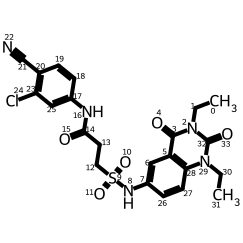 CCn1c(=O)c2cc(NS(=O)(=O)CCC(=O)Nc3ccc(C#N)c(Cl)c3)ccc2n(CC)c1=O